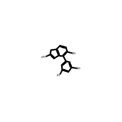 CCCC1=Cc2c(ccc(C(C)C)c2-c2cc(C(C)C)cc(C(C)C)c2)[CH]1